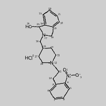 Cl.O=[N+]([O-])c1ccccc1CCN1CCC(CN2Cc3ccccc3C2O)CC1